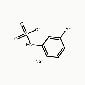 CC(=O)c1cccc(NS(=O)(=O)[O-])c1.[Na+]